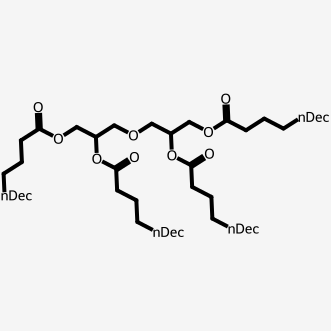 CCCCCCCCCCCCCC(=O)OCC(COCC(COC(=O)CCCCCCCCCCCCC)OC(=O)CCCCCCCCCCCCC)OC(=O)CCCCCCCCCCCCC